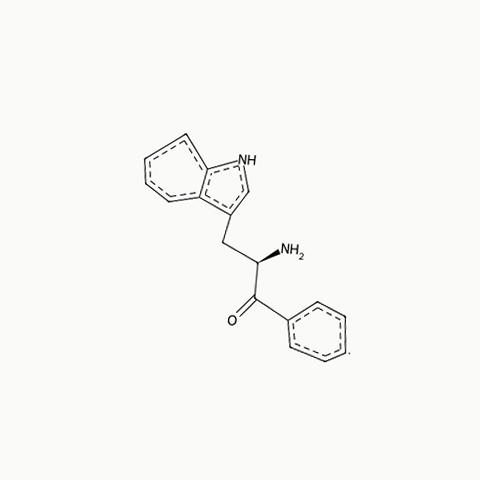 N[C@H](Cc1c[nH]c2ccccc12)C(=O)c1cc[c]cc1